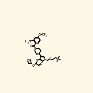 C[Si](C)(C)CCOCn1cc(C2CCN(C(=O)c3ccc(OC(F)(F)F)cc3N)CC2)c2nc(OC3COC3)cnc21